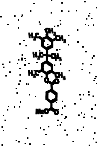 COC(=O)c1ccc(C(=O)Oc2c(C)cc(C(C)(C)c3cc(C)c(C)c(C)c3)cc2C)cc1